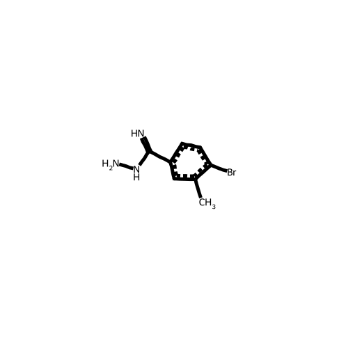 Cc1cc(C(=N)NN)ccc1Br